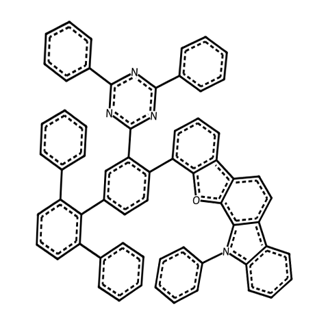 c1ccc(-c2nc(-c3ccccc3)nc(-c3cc(-c4c(-c5ccccc5)cccc4-c4ccccc4)ccc3-c3cccc4c3oc3c4ccc4c5ccccc5n(-c5ccccc5)c43)n2)cc1